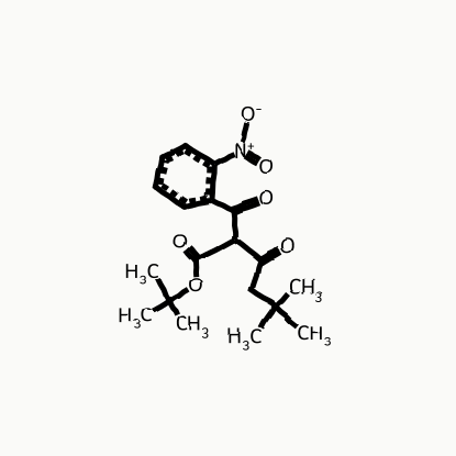 CC(C)(C)CC(=O)C(C(=O)OC(C)(C)C)C(=O)c1ccccc1[N+](=O)[O-]